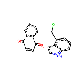 ClCc1cccc2[nH]ccc12.O=C1C=CC(=O)c2ccccc21